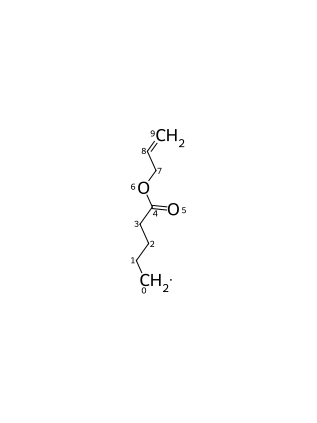 [CH2]CCCC(=O)OCC=C